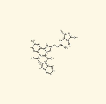 CN(CCn1cc(NC(=O)c2cnn3cccnc23)c(-c2cc(Cl)ccc2OC(F)F)n1)CC1C(=O)CC(=O)C1=O